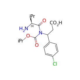 CC(C)OC(=O)N(C(=O)[C@@H](N)C(C)C)C(CC(=O)O)c1ccc(Cl)cc1